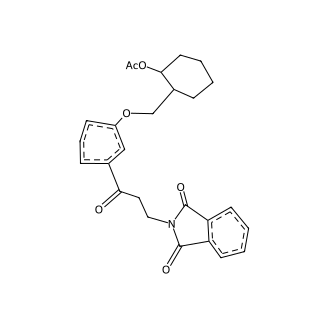 CC(=O)OC1CCCCC1COc1cccc(C(=O)CCN2C(=O)c3ccccc3C2=O)c1